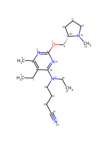 CCc1c(C)nc(OC[C@@H]2CCCN2C)nc1N(CC)CCCC#N